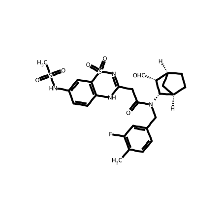 Cc1ccc(CN(C(=O)CC2=NS(=O)(=O)c3cc(NS(C)(=O)=O)ccc3N2)[C@H]2[C@@H]3CC[C@@H](C3)[C@H]2C=O)cc1F